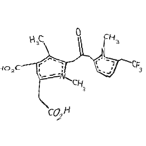 Cc1c(C(=O)O)c(CC(=O)O)n(C)c1C(=O)c1ccc(C(F)(F)F)n1C